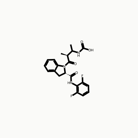 CC(NC(=O)O)[C@H](C)C(=O)N1c2ccccc2C[C@H]1C(=O)Nc1c(F)cccc1F